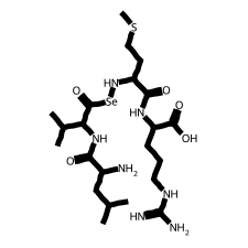 CSCCC(N[Se]C(=O)C(NC(=O)C(N)CC(C)C)C(C)C)C(=O)NC(CCCNC(=N)N)C(=O)O